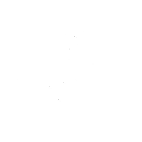 c1ccc(B2N(c3ccccc3)c3ccccc3N2c2ccc3c(c2)c2cc(-c4ccccc4)ccc2n3-c2nc(-c3ccccc3)cc(-c3ccccc3)n2)cc1